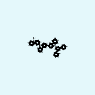 c1ccc(-c2cc(-c3ccccc3)cc(-n3c4ccccc4c4cc(-c5ccc6c(c5)c5ccccc5n6-c5ccc6[nH]c7ccccc7c6c5)ccc43)c2)cc1